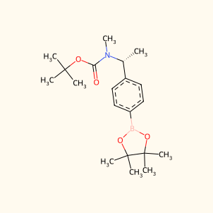 C[C@H](c1ccc(B2OC(C)(C)C(C)(C)O2)cc1)N(C)C(=O)OC(C)(C)C